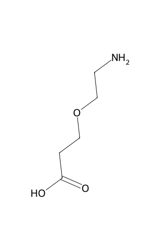 NCCOCCC(=O)O